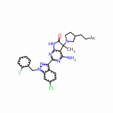 CC(=O)CCC1CCN(C2(C)C(=O)Nc3nc(-c4nn(Cc5ccccc5F)c5cc(Cl)ccc45)nc(N)c32)C1